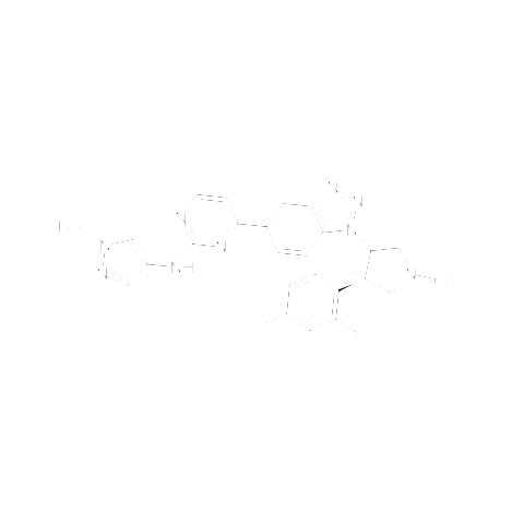 CN1CC(n2nnc3cc(-c4ccnc(Nc5cnn(C)c5)n4)ccc32)[C@H](c2ccc(F)cc2F)C1